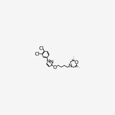 C[C@@H]1CN(CCCCOc2ccn(-c3ccc(Cl)c(Cl)c3)n2)C[C@H](C)O1